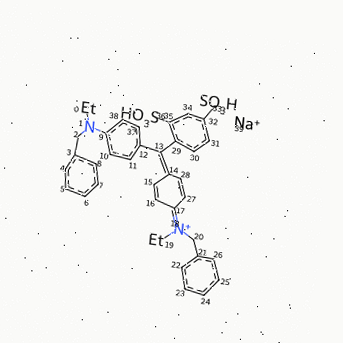 CCN(Cc1ccccc1)c1ccc(C(=C2C=CC(=[N+](CC)Cc3ccccc3)C=C2)c2ccc(S(=O)(=O)O)cc2S(=O)(=O)O)cc1.[Na+]